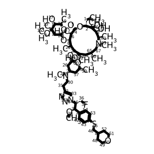 CC[C@H]1OC(=O)[C@H](C)[C@@H](O[C@H]2C[C@@](C)(OC)[C@@H](O)[C@H](C)O2)[C@H](C)[C@@H](O[C@H]2C[C@@H](N(C)CCc3cn([C@H](CF)[C@H](OC)c4ccc(SCC5CCOCC5)cc4)nn3)C[C@@H](C)O2)[C@](C)(O)C[C@@H](C)CN(C)[C@H](C)[C@@H](O)[C@]1(C)O